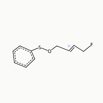 FC/C=C/COSc1ccccc1